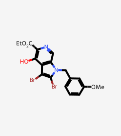 CCOC(=O)c1ncc2c(c1O)c(Br)c(Br)n2Cc1cccc(OC)c1